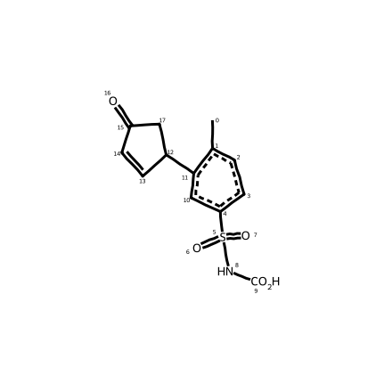 Cc1ccc(S(=O)(=O)NC(=O)O)cc1C1C=CC(=O)C1